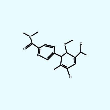 COC1C(C(C)Cl)=CC(Cl)=C(C)C1c1ccc(C(=O)N(C)C)nc1